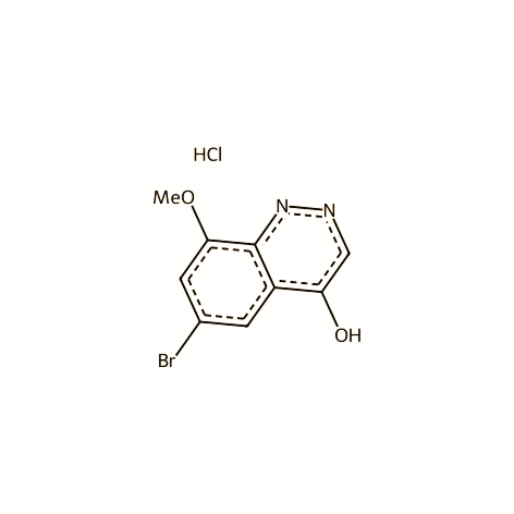 COc1cc(Br)cc2c(O)cnnc12.Cl